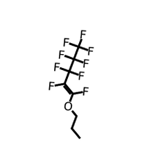 CCCOC(F)=C(F)C(F)(F)C(F)(F)C(F)(F)F